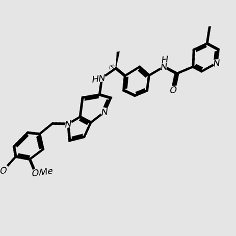 COc1ccc(Cn2ccc3ncc(N[C@@H](C)c4cccc(NC(=O)c5cncc(C)c5)c4)cc32)cc1OC